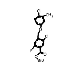 Cc1cc(OCc2cc(F)c(C(=O)OC(C)(C)C)cc2Cl)ccc1Cl